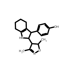 CC1=NOC(C)C1C1NC2=C(CCCC2)C1c1ccc(O)cc1